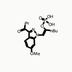 CCCC/C(=C/n1nc(C(=O)C(C)C)c2ccc(OC)cc21)OP(=O)(O)O